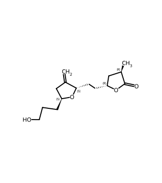 C=C1C[C@H](CCCO)O[C@H]1CC[C@@H]1C[C@@H](C)C(=O)O1